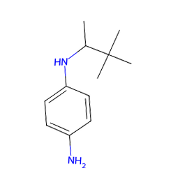 CC(Nc1ccc(N)cc1)C(C)(C)C